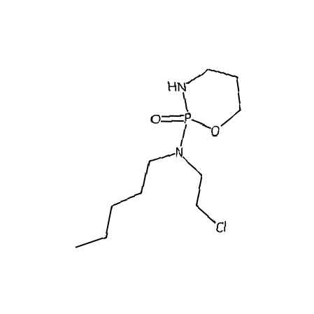 CCCCCN(CCCl)P1(=O)NCCCO1